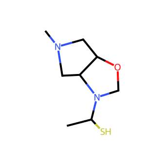 CC(S)N1COC2CN(C)CC21